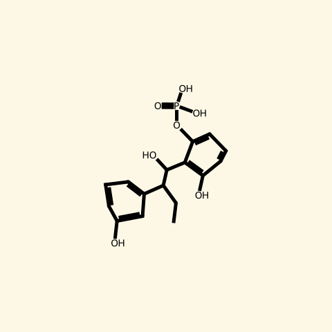 CCC(c1cccc(O)c1)C(O)c1c(O)cccc1OP(=O)(O)O